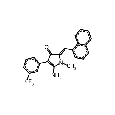 CN1C(=Cc2cccc3ccccc23)C(=O)C(c2cccc(C(F)(F)F)c2)=C1N